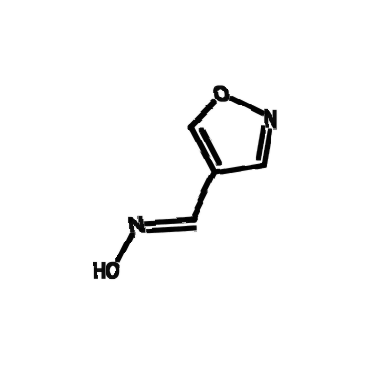 ON=Cc1cnoc1